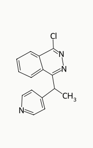 CC(c1ccncc1)c1nnc(Cl)c2ccccc12